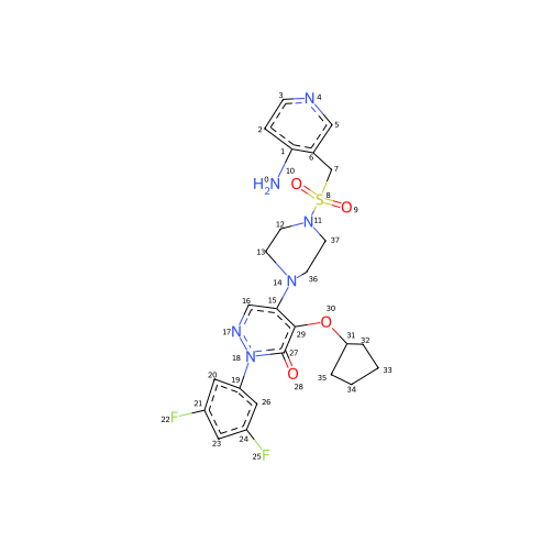 Nc1ccncc1CS(=O)(=O)N1CCN(c2cnn(-c3cc(F)cc(F)c3)c(=O)c2OC2CCCC2)CC1